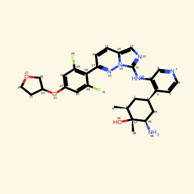 C[C@H]1C[C@@H](c2ccncc2Nc2ncc3ccc(-c4c(F)cc(OC5CCOC5)cc4F)nn23)C[C@@H](N)[C@]1(C)O